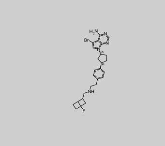 Nc1ncnc2c1c(Br)cn2[C@H]1CC[C@@H](c2ccc(CCNCC3CC4(F)CCC34)cc2)C1